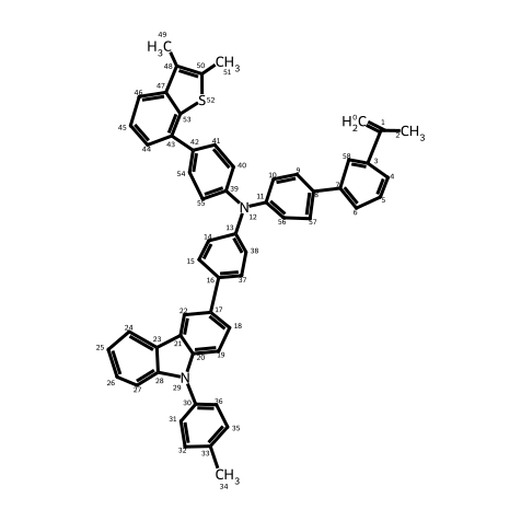 C=C(C)c1cccc(-c2ccc(N(c3ccc(-c4ccc5c(c4)c4ccccc4n5-c4ccc(C)cc4)cc3)c3ccc(-c4cccc5c(C)c(C)sc45)cc3)cc2)c1